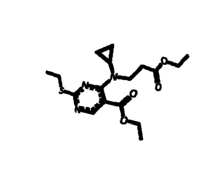 CCOC(=O)CCN(c1nc(SCC)ncc1C(=O)OCC)C1CC1